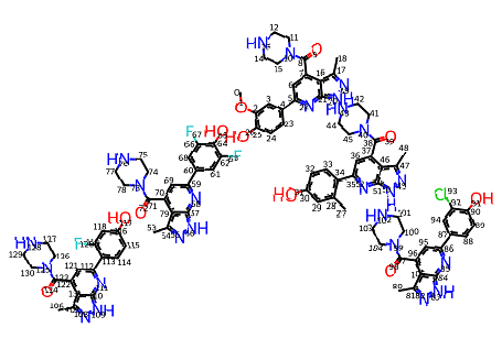 COc1cc(-c2cc(C(=O)N3CCNCC3)c3c(C)n[nH]c3n2)ccc1O.Cc1cc(O)ccc1-c1cc(C(=O)N2CCNCC2)c2c(C)n[nH]c2n1.Cc1n[nH]c2nc(-c3cc(F)c(O)c(F)c3)cc(C(=O)N3CCNCC3)c12.Cc1n[nH]c2nc(-c3ccc(O)c(Cl)c3)cc(C(=O)N3CCNCC3)c12.Cc1n[nH]c2nc(-c3ccc(O)cc3F)cc(C(=O)N3CCNCC3)c12